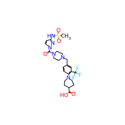 CS(=O)(=O)Nc1ccn(C(=O)N2CCN(Cc3ccc(N4CCC(C(=O)O)CC4)c(C(F)(F)F)c3)CC2)n1